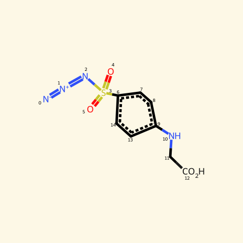 [N-]=[N+]=NS(=O)(=O)c1ccc(NCC(=O)O)cc1